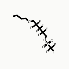 CCCCOCC(F)(F)C(F)(F)C(F)(F)COS(=O)(=O)C(F)(F)F